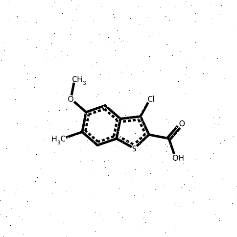 COc1cc2c(Cl)c(C(=O)O)sc2cc1C